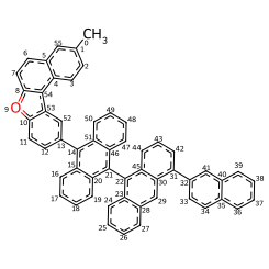 Cc1ccc2c(ccc3oc4ccc(-c5c6ccccc6c(-c6c7ccccc7cc7c(-c8ccc9ccccc9c8)cccc67)c6ccccc56)cc4c32)c1